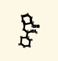 CC(Cc1ccccc1C=O)C1CCCCC1